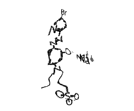 CCCN(CCCS(=O)(=O)[O-])c1ccc(N=Nc2ccc(Br)cn2)c([O-])c1.[Na+].[Na+]